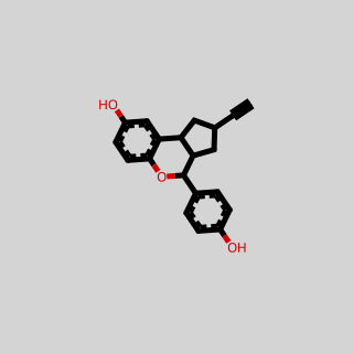 C#CC1CC2c3cc(O)ccc3OC(c3ccc(O)cc3)C2C1